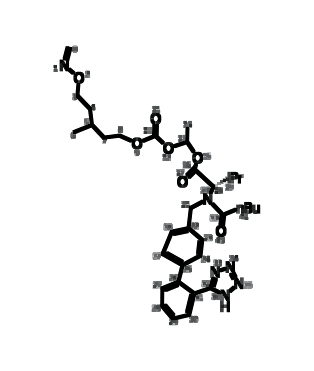 C=NOCCC(C)CCOC(=O)OC(C)OC(=O)[C@H](C(C)C)N(Cc1ccc(-c2ccccc2-c2nnn[nH]2)cc1)C(=O)CCCC